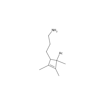 CC(=O)C1(C)C(C)=C(C)C1CCCN